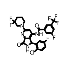 O=C(Nc1cc(N2CCCC(F)(F)C2)nc2c1C(c1cc(F)ccc1Cl)NC2=O)c1cc(F)cc(C(F)(F)F)c1